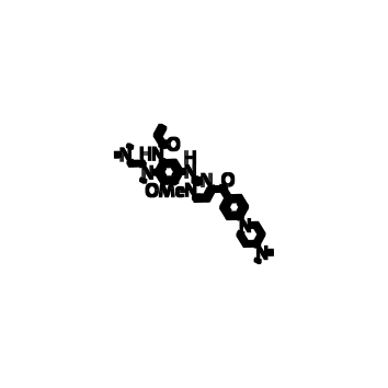 C=CC(=O)Nc1cc(Nc2nccc(C(=O)c3ccc(N4CCC(N(C)C)CC4)cc3)n2)c(OC)cc1N(C)CCN(C)C